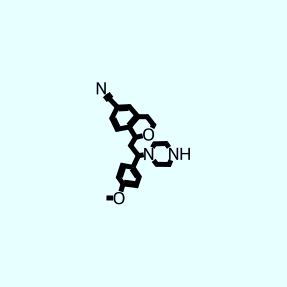 COc1ccc(C(CC2OCCc3cc(C#N)ccc32)N2CCNCC2)cc1